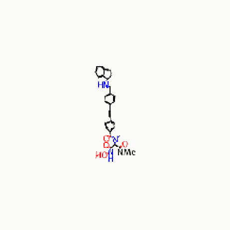 CNC(=O)C(C(=O)NO)N(C)C(=O)c1ccc(C#Cc2ccc(CNC3CCc4ccccc43)cc2)cc1